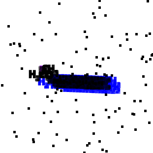 CC(C)(I)c1ccc(NC(N)(N)C(N)(N)C(N)(N)C(N)(N)C(N)(N)C(N)(N)C(N)(N)C(N)(N)C(N)(N)C(N)(N)C(N)(N)C(N)(N)C(N)(N)C(N)(N)C(N)(N)C(N)(N)C(N)N)cc1